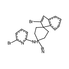 N#CC1(Nc2cccc(Br)n2)CCC2(CC1)C(Br)=Cc1ccccc12